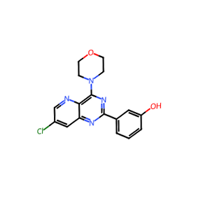 Oc1cccc(-c2nc(N3CCOCC3)c3ncc(Cl)cc3n2)c1